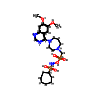 COc1cc2ncnc(N3CCCN(CS(=O)(=O)ONS(=O)(=O)C4CCCCCC4)CC3)c2cc1OC